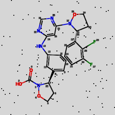 O=C(O)N1OCC[C@@H]1c1cccc(Nc2cc(N3OCC[C@@H]3c3cccc(F)c3F)ncn2)c1